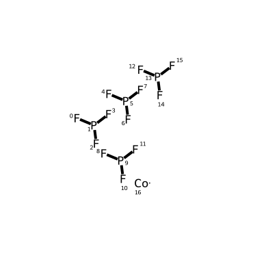 FP(F)F.FP(F)F.FP(F)F.FP(F)F.[Co]